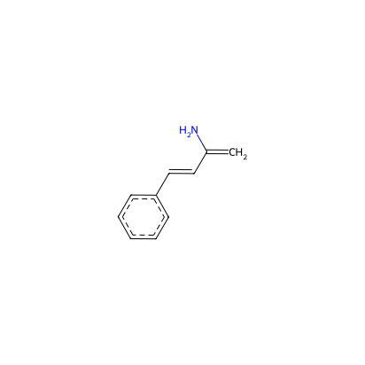 C=C(N)/C=C/c1ccccc1